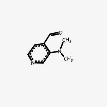 CN(C)c1cnccc1C=O